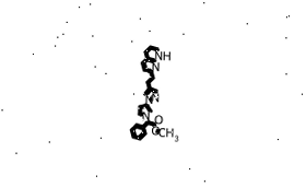 COC(=O)C(c1ccccc1)N1CCC(n2cc(CCc3ccc4c(n3)NCCC4)cn2)C1